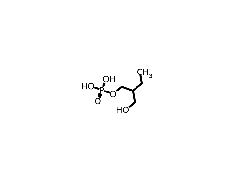 CCC(CO)COP(=O)(O)O